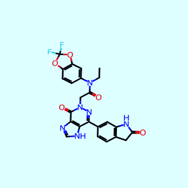 CCN(C(=O)Cn1nc(-c2ccc3c(c2)NC(=O)C3)c2[nH]cnc2c1=O)c1ccc2c(c1)OC(F)(F)O2